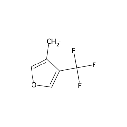 [CH2]c1cocc1C(F)(F)F